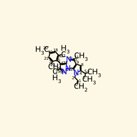 C=CCn1c(C(C)C)cc2c(C)nc3c(-c4c(C)cc(C)cc4C)c(C)nn3c21